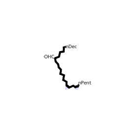 CCCCC/C=C\C/C=C\CCCCCCCCC([C]=O)CCCCCCCCCCCCCC